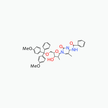 COc1ccc(C(OC[C@H]2O[C@@H](n3cc(C)c(NC(=O)c4ccccc4)nc3=O)C(C)[C@H]2O)(c2ccccc2)c2ccc(OC)cc2)cc1